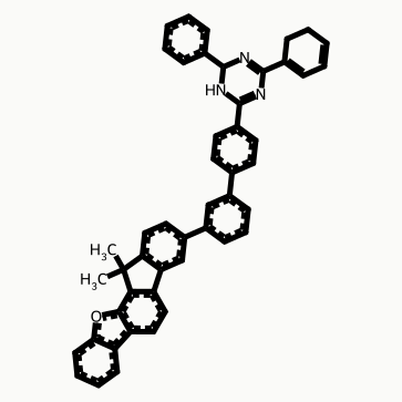 CC1(C)c2ccc(-c3cccc(-c4ccc(C5=NC(C6=CC=CCC6)=NC(c6ccccc6)N5)cc4)c3)cc2-c2ccc3c(oc4ccccc43)c21